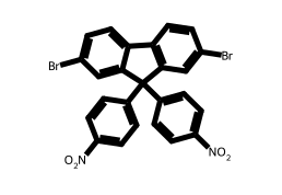 O=[N+]([O-])c1ccc(C2(c3ccc([N+](=O)[O-])cc3)c3cc(Br)ccc3-c3ccc(Br)cc32)cc1